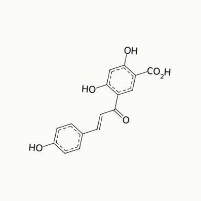 O=C(O)c1cc(C(=O)/C=C/c2ccc(O)cc2)c(O)cc1O